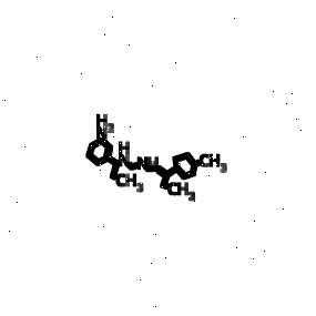 CC/C(=C\CNCNC(CC)C1=CC(N)CCC1)C1CCC(C)CC1